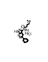 CN(C)CCCC(=O)Nc1n[nH]c2nnc(-c3ccccc3)cc12.Cl